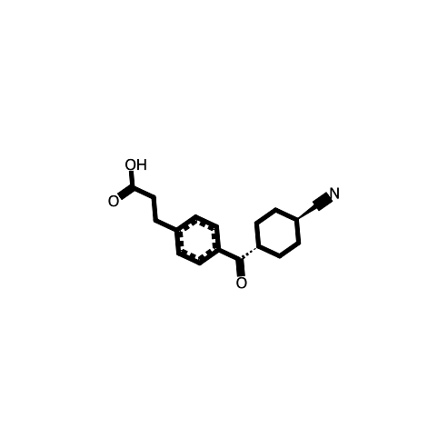 N#C[C@H]1CC[C@H](C(=O)c2ccc(CCC(=O)O)cc2)CC1